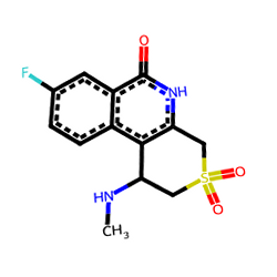 CNC1CS(=O)(=O)Cc2[nH]c(=O)c3cc(F)ccc3c21